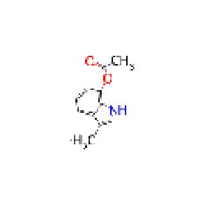 [CH2]c1c[nH]c2c(OC(C)=O)cccc12